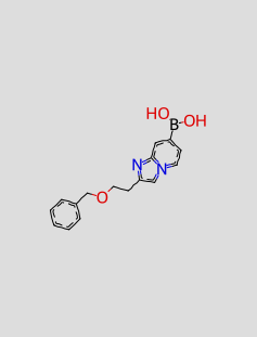 OB(O)c1ccn2cc(CCOCc3ccccc3)nc2c1